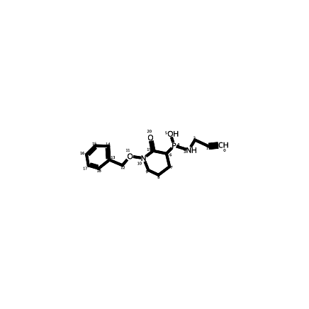 C#CCNP(O)C1CCCN(OCc2ccccc2)C1=O